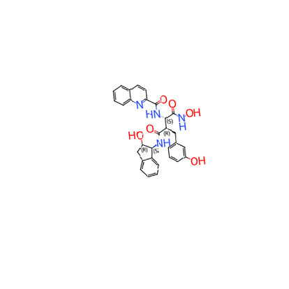 O=C(N[C@H](C(=O)NO)[C@@H](Cc1cccc(O)c1)C(=O)N[C@H]1c2ccccc2C[C@H]1O)c1ccc2ccccc2n1